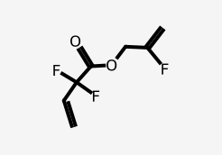 C=CC(F)(F)C(=O)OCC(=C)F